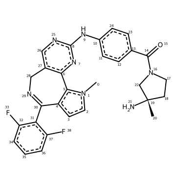 Cn1ccc2c1-c1nc(Nc3ccc(C(=O)N4CC[C@](C)(N)C4)cc3)ncc1CN=C2c1c(F)cccc1F